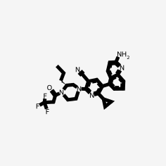 CCC[C@@H]1CN(c2nc(C3CC3)c(-c3cccc4nc(N)ccc34)cc2C#N)CCN1C(=O)CC(F)(F)F